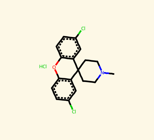 CN1CCC2(CC1)c1cc(Cl)ccc1Oc1ccc(Cl)cc12.Cl